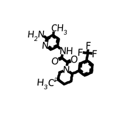 Cc1cc(NC(=O)C(=O)N2C[C@@H](C)CCC2c2cccc(C(F)(F)F)c2)cnc1N